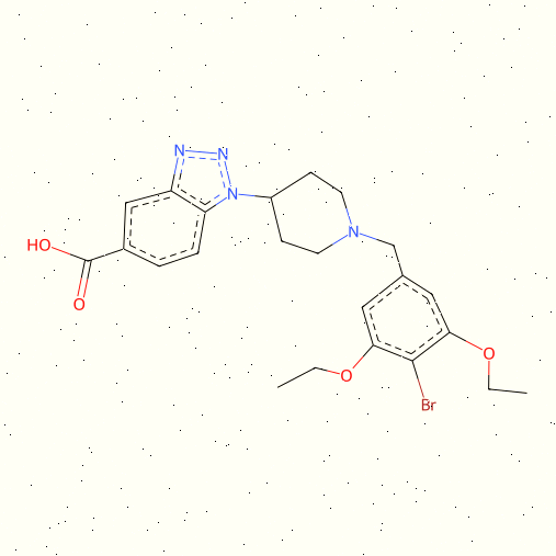 CCOc1cc(CN2CCC(n3nnc4cc(C(=O)O)ccc43)CC2)cc(OCC)c1Br